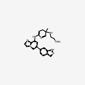 COCCNC1(C)C=NC(Nc2cc(-c3ccc4cn[nH]c4c3)cn3ccnc23)=CC1